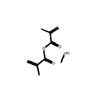 C=C(C)C(=O)OC(=O)C(=C)C.CCCC